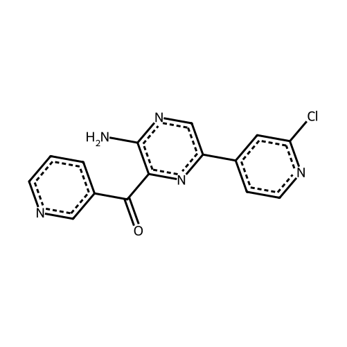 Nc1ncc(-c2ccnc(Cl)c2)nc1C(=O)c1cccnc1